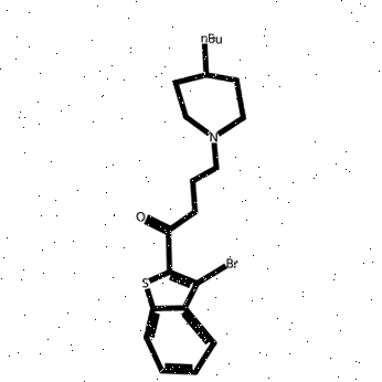 CCCCC1CCN(CCCC(=O)c2sc3ccccc3c2Br)CC1